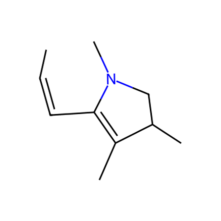 C/C=C\C1=C(C)C(C)CN1C